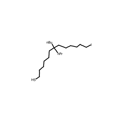 CCCCC(CCC)(CCCCCCS)CCCCCCI